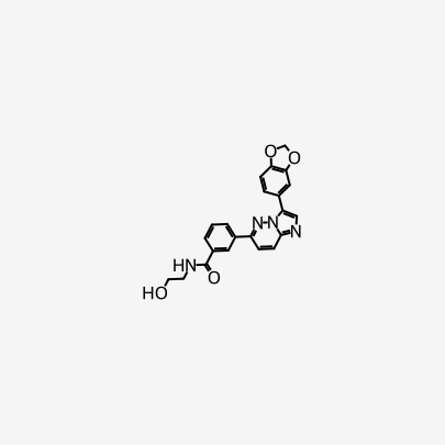 O=C(NCCO)c1cccc(-c2ccc3ncc(-c4ccc5c(c4)OCO5)n3n2)c1